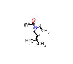 C=CN(CC=C(C)C)C(=O)C(C)C